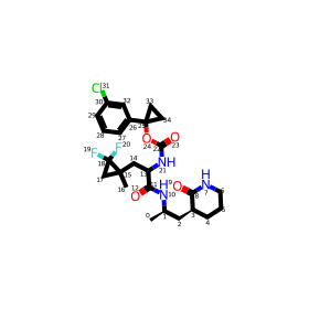 C[C@H](C[C@@H]1CCCNC1=O)NC(=O)C(CC1(C)CC1(F)F)NC(=O)OC1(c2cccc(Cl)c2)CC1